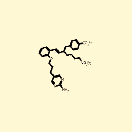 CCOC(=O)CCCCC(/C=C/c1ccccc1OCCCc1cnc(N)nc1)Cc1ccc(C(=O)OCC)cc1